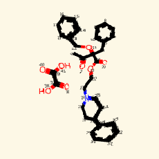 CC(=O)C(Cc1ccccc1)(OCc1ccccc1)C(=O)OCCN1CCC(c2ccccc2)CC1.O=C(O)C(=O)O